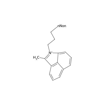 CCCCCCCCCCCC[N+]1=C(C)c2cccc3cccc1c23